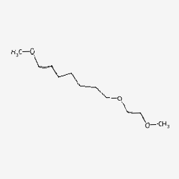 COCCCCCCCOCCOC